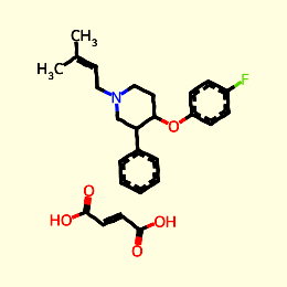 CC(C)=CCN1CCC(Oc2ccc(F)cc2)C(c2ccccc2)C1.O=C(O)C=CC(=O)O